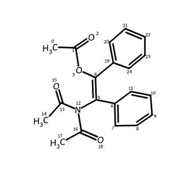 CC(=O)OC(=C(c1ccccc1)N(C(C)=O)C(C)=O)c1ccccc1